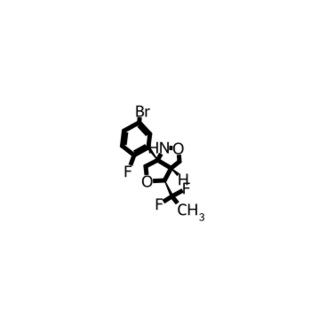 CC(F)(F)[C@H]1OC[C@]2(c3cc(Br)ccc3F)NOC[C@H]12